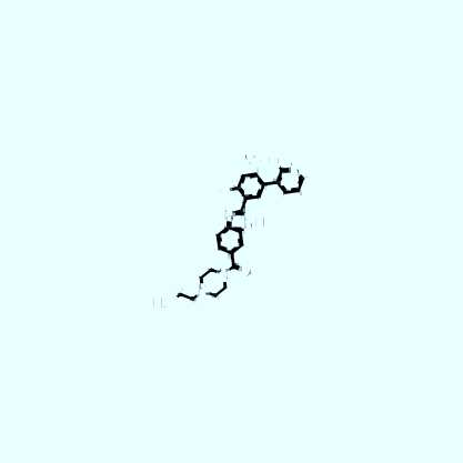 COc1ncccc1-c1ccc(O)c(-c2nc3ccc(C(=O)N4CCN(CCO)CC4)cc3[nH]2)c1